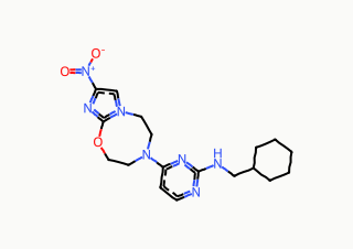 O=[N+]([O-])c1cn2c(n1)OCCN(c1ccnc(NCC3CCCCC3)n1)CC2